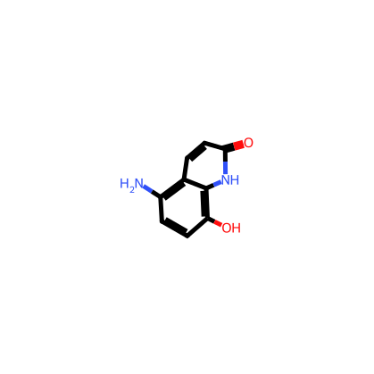 Nc1ccc(O)c2[nH]c(=O)ccc12